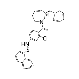 C=C(c1ccc(NSc2cccc3ccccc23)cc1Cl)N1CCC=C[C@@H](CC2C=CC=CC2)C1